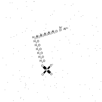 O.O.O.O.O.O.O.O.O.O.O.O.O=S(=O)([O-])[O-].[Al+3].[OH-]